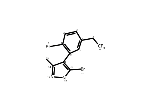 CCc1ccc(CC(F)(F)F)cc1C1=C(Br)[N]N=C1C